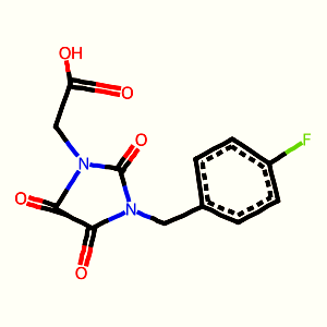 O=C(O)CN1C(=O)C(=O)N(Cc2ccc(F)cc2)C1=O